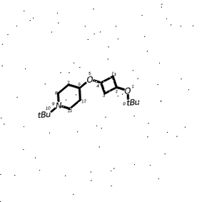 CC(C)(C)OC1CC(OC2CCN(C(C)(C)C)CC2)C1